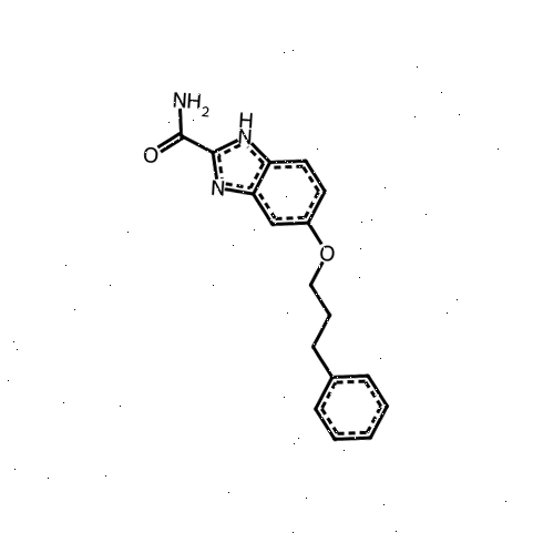 NC(=O)c1nc2cc(OCCCc3ccccc3)ccc2[nH]1